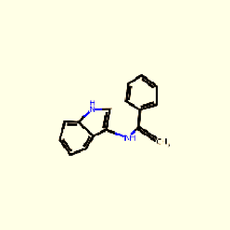 C=C(Nc1c[nH]c2ccccc12)c1ccccc1